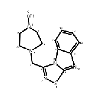 CCCN1CCN(Cc2nsc3nc4ccccc4n23)CC1